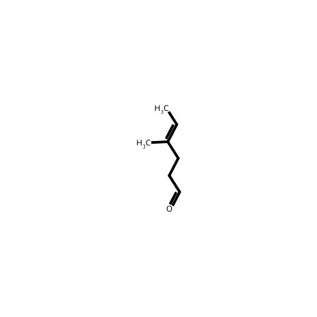 C/C=C(\C)CCC=O